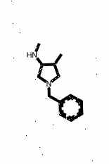 CNC1CN(Cc2ccccc2)CC1C